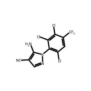 N#Cc1cnn(-c2c(Cl)cc(C(F)(F)F)c(Cl)c2Cl)c1N